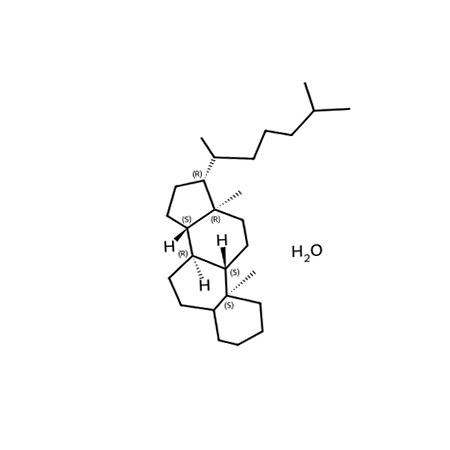 CC(C)CCCC(C)[C@H]1CC[C@H]2[C@@H]3CCC4CCCC[C@]4(C)[C@H]3CC[C@]12C.O